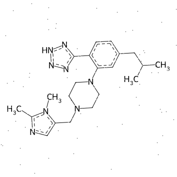 Cc1ncc(CN2CCN(c3cc(CC(C)C)ccc3-c3nn[nH]n3)CC2)n1C